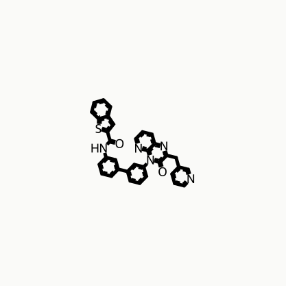 O=C(Nc1cccc(-c2cccc(-n3c(=O)c(Cc4cccnc4)nc4cccnc43)c2)c1)c1cc2ccccc2s1